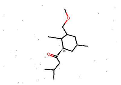 COC[C]1CC(C)C[C@@H](C(=O)CC(C)C)C1C